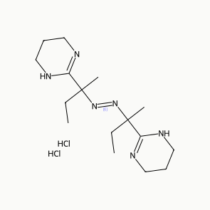 CCC(C)(/N=N/C(C)(CC)C1=NCCCN1)C1=NCCCN1.Cl.Cl